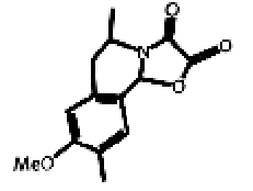 COc1cc2c(cc1C)C1OC(=O)C(=O)N1C(C)C2